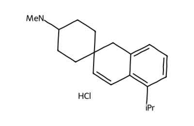 CNC1CCC2(C=Cc3c(cccc3C(C)C)C2)CC1.Cl